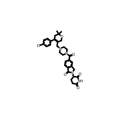 CC1(C)CC(c2ccc(Cl)cc2)=C(CN2CCN(C(=O)c3ccc4c(c3)CN(C3CCC(=O)NC3=O)C4=O)CC2)CO1